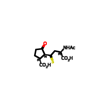 CC(=O)N[C@H](CC(=S)[C@@H]1C(=O)CC[C@H]1C(=O)O)C(=O)O